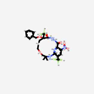 CC1(C)COCCCC(OCc2ccccc2)(C(F)(F)F)C(=O)NNC(=O)c2nc(c(C(F)(F)F)cc2[N+](=O)[O-])N1